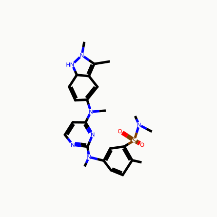 CC1=C2C=C(N(C)c3ccnc(N(C)c4ccc(C)c(S(=O)(=O)N(C)C)c4)n3)C=CC2NN1C